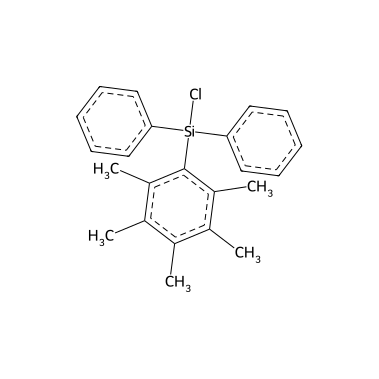 Cc1c(C)c(C)c([Si](Cl)(c2ccccc2)c2ccccc2)c(C)c1C